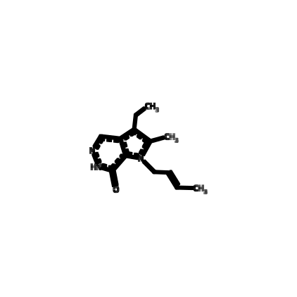 CC=CCn1c(C)c(CC)c2cn[nH]c(=O)c21